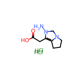 Cl.Cl.NN1CN2CCCC2=C1CC(=O)O